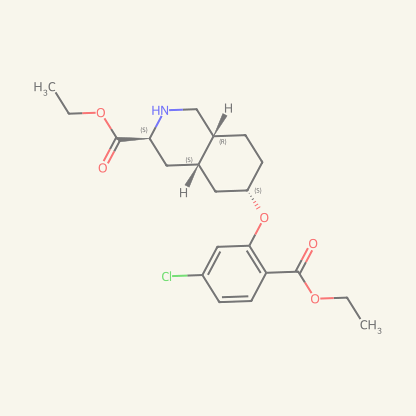 CCOC(=O)c1ccc(Cl)cc1O[C@H]1CC[C@H]2CN[C@H](C(=O)OCC)C[C@H]2C1